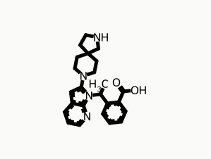 CC(c1ccccc1C(=O)O)n1c(N2CCC3(CCNC3)CC2)cc2cccnc21